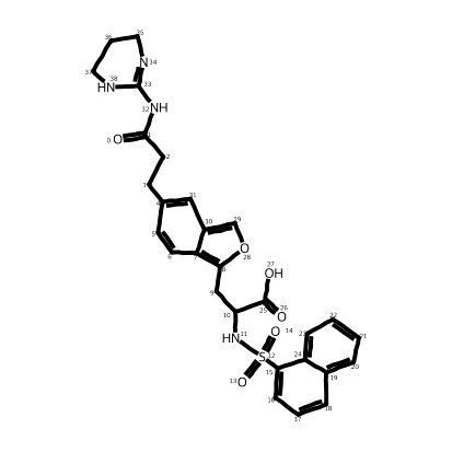 O=C(CCc1ccc2c(CC(NS(=O)(=O)c3cccc4ccccc34)C(=O)O)occ2c1)NC1=NCCCN1